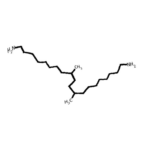 CC(CCCCCCCCN)CCC(C)CCCCCCCCN